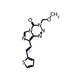 COCn1nnc2c(/C=C/c3cccs3)ncn2c1=O